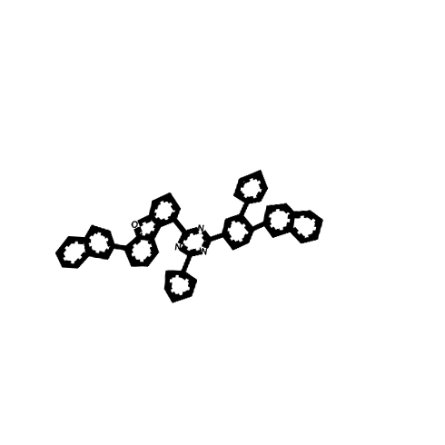 c1ccc(-c2nc(-c3ccc(-c4ccc5ccccc5c4)c(-c4ccccc4)c3)nc(-c3cccc4oc5c(-c6ccc7ccccc7c6)cccc5c34)n2)cc1